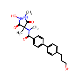 CNC(=O)[C@@](C)(C(=O)NO)N(C)C(=O)c1ccc(-c2ccc(CCCO)cc2)cc1